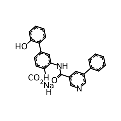 O=C(Nc1cc(-c2ccccc2O)ccc1C(=O)O)c1cncc(-c2ccccc2)c1.[NaH]